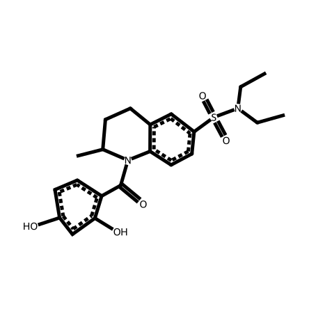 CCN(CC)S(=O)(=O)c1ccc2c(c1)CCC(C)N2C(=O)c1ccc(O)cc1O